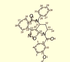 COc1cccc(C(=O)N2c3onc(-c4ccccc4)c3C(N(C(C)=O)c3ccccc3)CC2C)c1